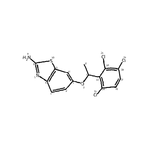 CC(Oc1ccc2nc(N)sc2c1)c1c(Cl)ccc(Cl)c1Cl